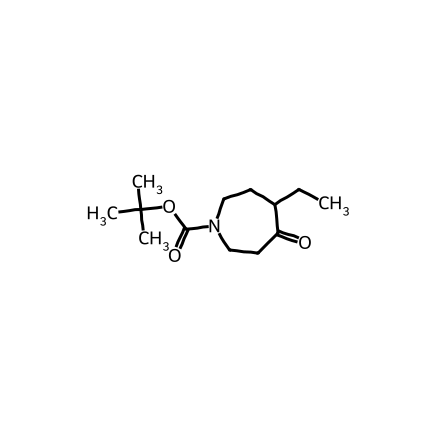 CCC1CCN(C(=O)OC(C)(C)C)CCC1=O